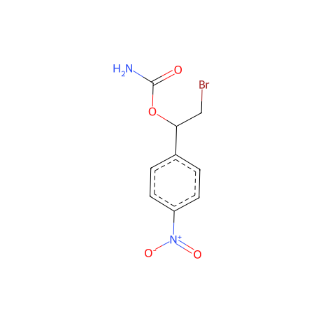 NC(=O)OC(CBr)c1ccc([N+](=O)[O-])cc1